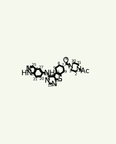 CC(=O)N1CCN(C(=O)[C@H]2CCc3c(sc4ncnc(Nc5ccc6[nH]ncc6c5)c34)C2)CC1